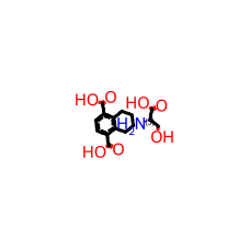 N[C@@H](CO)C(=O)O.O=C(O)c1ccc(C(=O)O)c2c1CCCC2